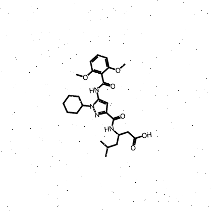 COc1cccc(OC)c1C(=O)Nc1cc(C(=O)NC(CC(=O)O)CC(C)C)nn1C1CCCCC1